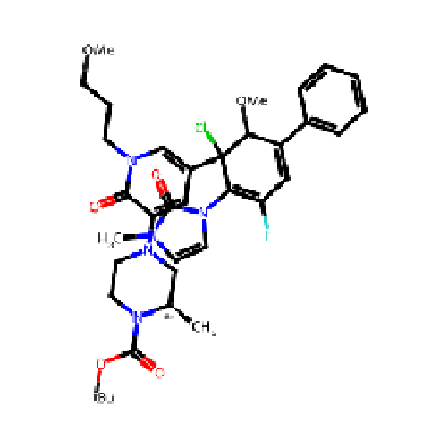 COCCCn1cc(C2(Cl)C(n3ccn(C)c3=O)=C(F)C=C(c3ccccc3)C2OC)cc(N2CCN(C(=O)OC(C)(C)C)[C@H](C)C2)c1=O